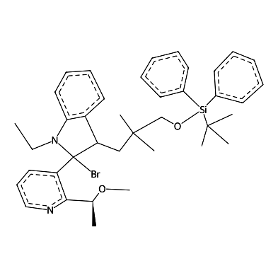 CCN1c2ccccc2C(CC(C)(C)CO[Si](c2ccccc2)(c2ccccc2)C(C)(C)C)C1(Br)c1cccnc1[C@H](C)OC